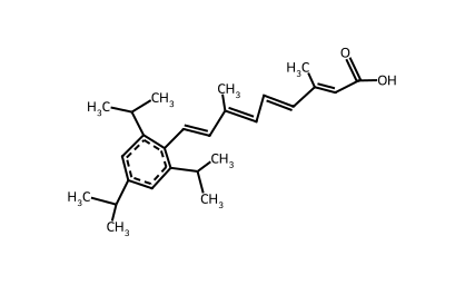 CC(/C=C/c1c(C(C)C)cc(C(C)C)cc1C(C)C)=C\C=C\C(C)=C\C(=O)O